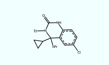 CCCC1(C2CC2)c2cc(Cl)ccc2NC(=O)N1CC